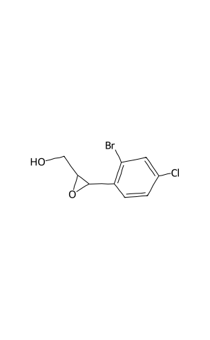 OCC1OC1c1ccc(Cl)cc1Br